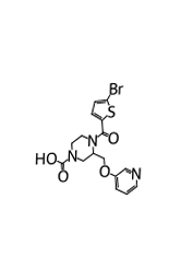 O=C(O)N1CCN(C(=O)c2ccc(Br)s2)C(COc2cccnc2)C1